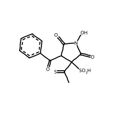 CC(=S)C1(S(=O)(=O)O)C(=O)N(O)C(=O)C1C(=O)c1ccccc1